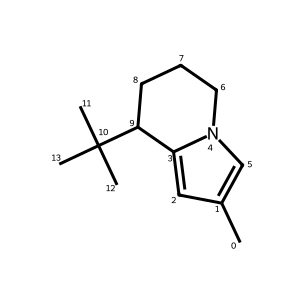 Cc1cc2n(c1)CCCC2C(C)(C)C